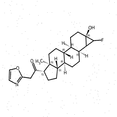 C[C@]12CC[C@@H]3[C@H]4CC[C@]5(O)C(F)C5[C@H]4CC[C@H]3[C@@H]1CC[C@@H]2C(=O)Cc1ncco1